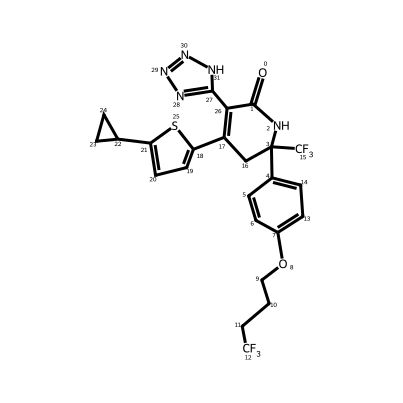 O=C1NC(c2ccc(OCCCC(F)(F)F)cc2)(C(F)(F)F)CC(c2ccc(C3CC3)s2)=C1c1nnn[nH]1